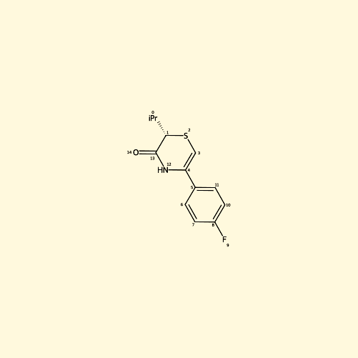 CC(C)[C@@H]1SC=C(c2ccc(F)cc2)NC1=O